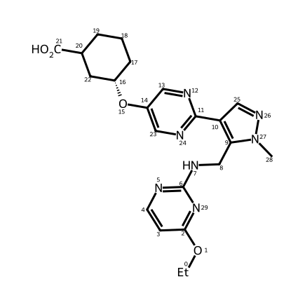 CCOc1ccnc(NCc2c(-c3ncc(O[C@H]4CCCC(C(=O)O)C4)cn3)cnn2C)n1